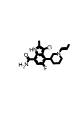 CC=CN1CCCC(c2c(F)cc(C(N)=O)c3[nH]c(C)c(Cl)c23)C1